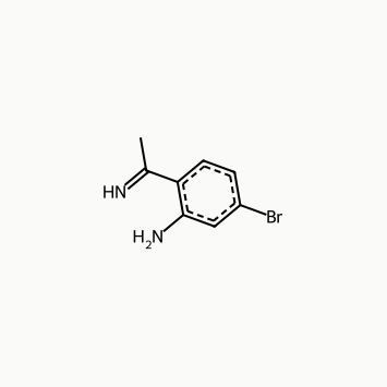 CC(=N)c1ccc(Br)cc1N